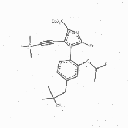 CCOC(=O)c1nc(CC)n(-c2ccc(CC(C)(C)C(F)(F)F)cc2OC(F)F)c1C#C[Si](C)(C)C